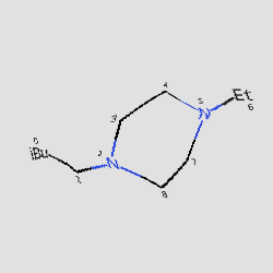 CCC(C)CN1CCN(CC)CC1